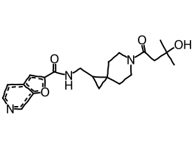 CC(C)(O)CC(=O)N1CCC2(CC1)CC2CNC(=O)c1cc2ccncc2o1